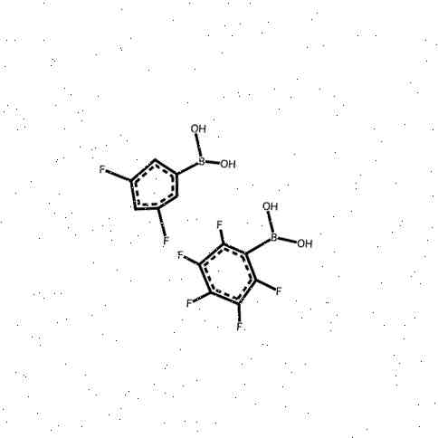 OB(O)c1c(F)c(F)c(F)c(F)c1F.OB(O)c1cc(F)cc(F)c1